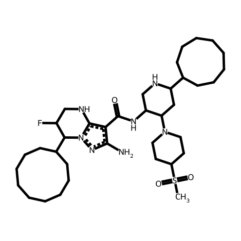 CS(=O)(=O)C1CCN(C2CC(C3CCCCCCCC3)NCC2NC(=O)c2c(N)nn3c2NCC(F)C3C2CCCCCCCCC2)CC1